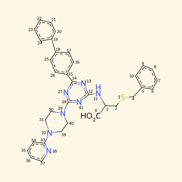 O=C(O)C(CSCc1ccccc1)Nc1nc(-c2ccc(-c3ccccc3)cc2)nc(N2CCN(c3ccccn3)CC2)n1